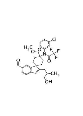 COC(=O)C1(N(C(=O)C(F)(F)F)c2cccc(Cl)c2)CCC2(CC1)C(C[C@@H](C)CO)=Cc1ccc(C=O)cc12